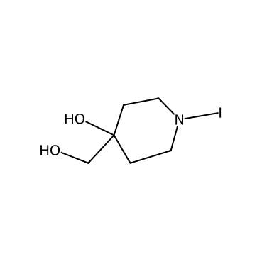 OCC1(O)CCN(I)CC1